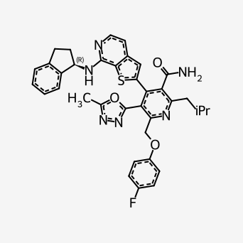 Cc1nnc(-c2c(COc3ccc(F)cc3)nc(CC(C)C)c(C(N)=O)c2-c2cc3ccnc(N[C@@H]4CCc5ccccc54)c3s2)o1